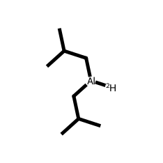 [2H][Al]([CH2]C(C)C)[CH2]C(C)C